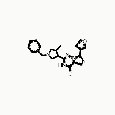 CC1CN(Cc2ccccc2)CC1c1nn2c(-c3ccoc3)ncc2c(=O)[nH]1